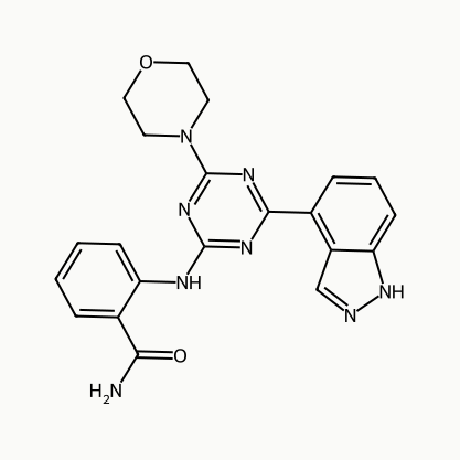 NC(=O)c1ccccc1Nc1nc(-c2cccc3[nH]ncc23)nc(N2CCOCC2)n1